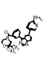 CC1(C)CN(C(=O)c2cccc(-c3ncnc4ccc(-c5ccc(N)nc5)cc34)c2)CCO1